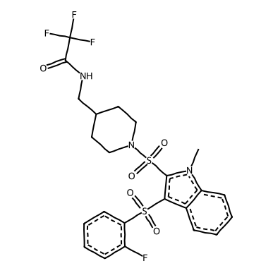 Cn1c(S(=O)(=O)N2CCC(CNC(=O)C(F)(F)F)CC2)c(S(=O)(=O)c2ccccc2F)c2ccccc21